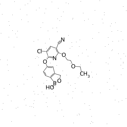 CCOCCOc1nc(Oc2ccc3c(c2)COB3O)c(Cl)cc1C#N